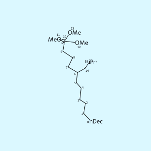 CCCCCCCCCCCCCCCC(CCC[Si](OC)(OC)OC)C[C](C)C